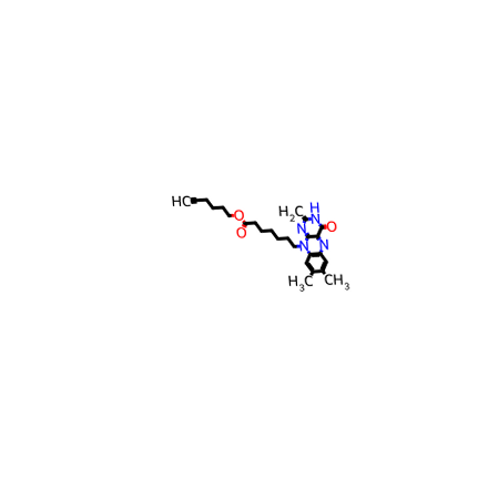 C#CCCCCOC(=O)CCCCCCN1c2cc(C)c(C)cc2N=c2c1nc(=C)[nH]c2=O